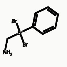 N[CH2][Er]([Br])([Br])[c]1ccccc1